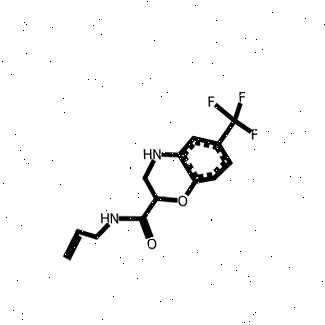 C=CCNC(=O)C1CNc2cc(C(F)(F)F)ccc2O1